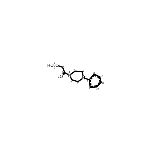 O=C(O)CC(=O)N1CCN(c2ccccc2)CC1